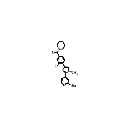 Cn1cc(-c2ccc(C(=O)N3CCCCC3)cc2Cl)nc1-c1ccnc(C(C)(C)C)c1